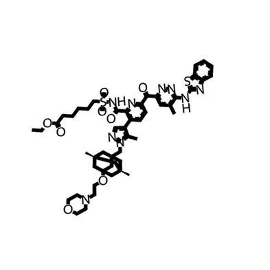 CCOC(=O)CCCCCS(=O)(=O)NC(=O)c1nc(C(=O)c2cc(C)c(Nc3nc4ccccc4s3)nn2)ccc1-c1cnn(CC23CC4(OCCN5CCOCC5)C[C@](C)(C2)C[C@](C)(C3)C4)c1C